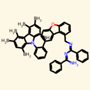 Bc1cc(B)c2c(c1B)c1c(B)c(B)cc(B)c1n2-c1ccccc1-c1ccc2oc3cccc(C/N=C(\N=C(/N)c4ccccc4)c4ccccc4)c3c2c1